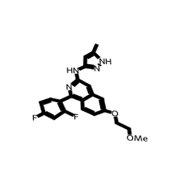 COCCOc1ccc2c(-c3ccc(F)cc3F)nc(Nc3cc(C)[nH]n3)cc2c1